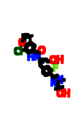 CC(C)Oc1ccc(C(=O)N[C@H](CCO)Cc2ccc(-c3cn(C)c(C(C)(C)O)n3)c(F)c2)cc1Cl